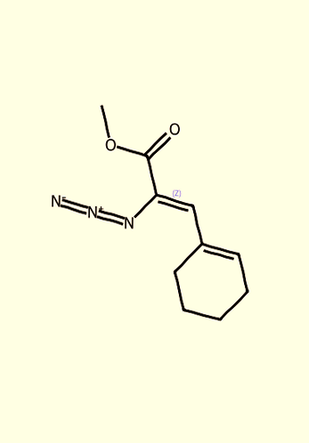 COC(=O)/C(=C/C1=CCCCC1)N=[N+]=[N-]